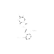 COc1cccc(OC)c1C=CNC(=O)n1cc(F)c(=O)[nH]c1=O